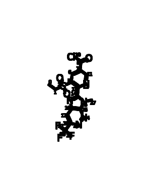 CCS(=O)(=O)c1cc(C(=O)Cl)cnc1-c1nc2cc(C(F)(F)F)nnc2n1C